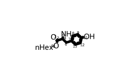 CCCCCCOC(=O)C(N)Cc1ccc(O)cc1